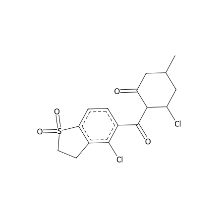 CC1CC(=O)C(C(=O)c2ccc3c(c2Cl)CCS3(=O)=O)C(Cl)C1